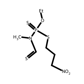 CCOP(=S)(SCCC[N+](=O)[O-])N(C)C=S